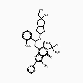 COc1ccccc1C(Cn1c(=O)n(C(C)(C)C(=O)O)c(=O)c2c(C)c(-c3ncco3)sc21)OC1CC2CC(O)(CC#N)CC2C1